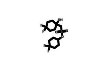 O=S(=O)(CC1(O)CCC(F)(F)CC1)OC1CCC(F)(F)CC1